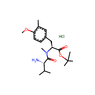 COc1ccc(C[C@@H](C(=O)OC(C)(C)C)N(C)C(=O)[C@@H](N)C(C)C)cc1C.Cl